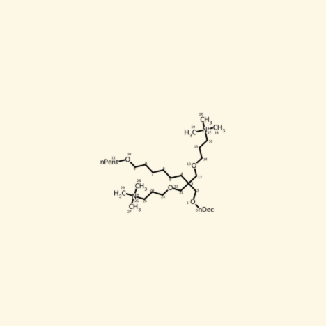 CCCCCCCCCCOCC(CCCCCCOCCCCC)(COCCC[N+](C)(C)C)COCCC[N+](C)(C)C